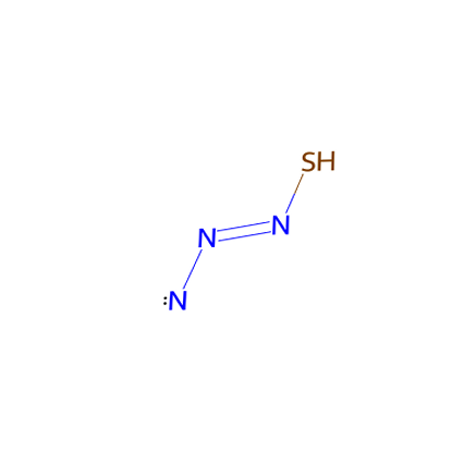 [N]N=NS